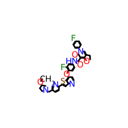 COC1CCN(Cc2ccc(-c3cc4nccc(Oc5ccc(NC(=O)c6c7c(cn(-c8ccc(F)cc8)c6=O)CCO7)cc5F)c4s3)nc2)C1